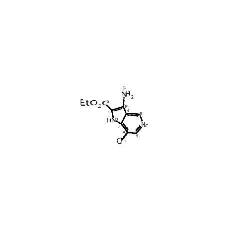 CCOC(=O)c1[nH]c2c(Cl)cncc2c1N